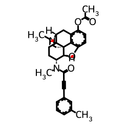 CC(=O)Oc1ccc2c3c1C[C@@H]1[C@@H]4CC[C@@H](N(C)C(=O)C#Cc5cccc(C)c5)[C@H](O2)[C@]34CCN1C